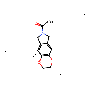 CC(C)(C)C(=O)N1Cc2cc3c(cc2C1)OCCO3